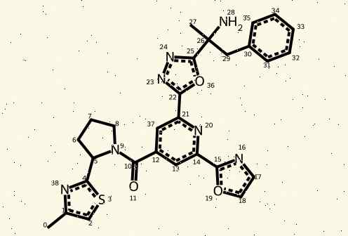 Cc1csc(C2CCCN2C(=O)c2cc(-c3ncco3)nc(-c3nnc(C(C)(N)Cc4ccccc4)o3)c2)n1